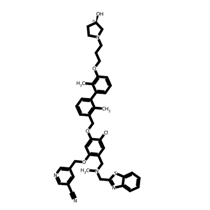 Cc1c(COc2cc(OCc3cncc(C#N)c3)c(CN(C)Cc3nc4ccccc4s3)cc2Cl)cccc1-c1cccc(OCCCN2CC[C@@H](O)C2)c1C